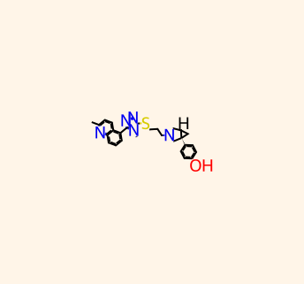 Cc1ccc2c(-c3nnc(SCCCN4C[C@H]5C[C@@]5(c5ccc(O)cc5)C4)n3C)cccc2n1